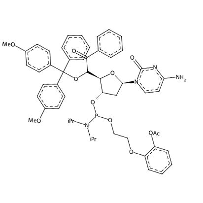 COc1ccc(C(OC(C(=O)c2ccccc2)[C@H]2O[C@@H](n3ccc(N)nc3=O)C[C@@H]2OP(OCCOc2ccccc2OC(C)=O)N(C(C)C)C(C)C)(c2ccccc2)c2ccc(OC)cc2)cc1